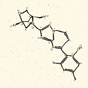 Cc1cc(C)c(-c2ccn3nc(N4C[C@H]5C[C@@H]4CO5)nc3n2)c(O)c1